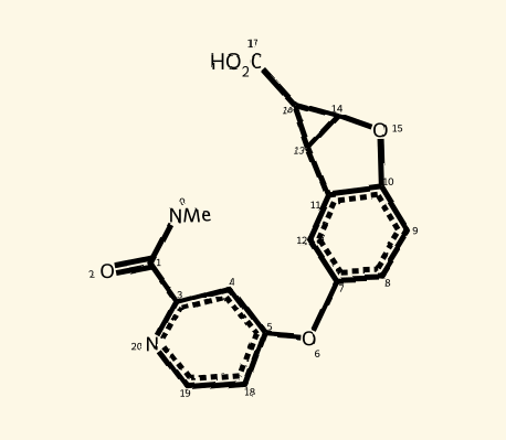 CNC(=O)c1cc(Oc2ccc3c(c2)C2C(O3)C2C(=O)O)ccn1